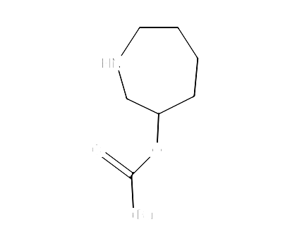 CC(C)(C)C(=O)OC1CCCCNC1